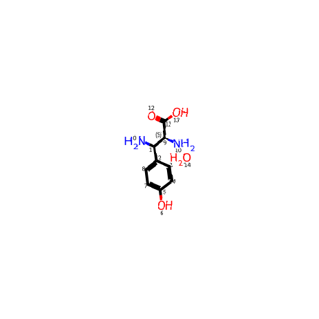 NC(c1ccc(O)cc1)[C@H](N)C(=O)O.O